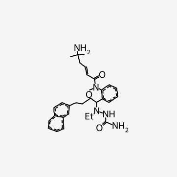 CCN(NC(N)=O)C(C(=O)CCc1ccc2ccccc2c1)c1ccccc1N(C)C(=O)C=CCC(C)(C)N